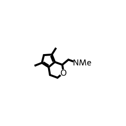 CNCC1OCCC2=C(C)CC(C)=C21